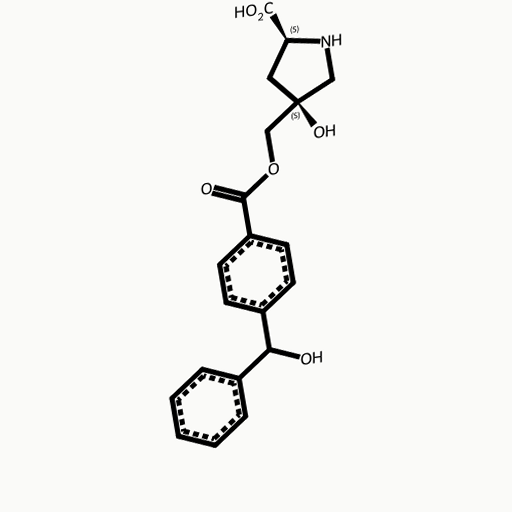 O=C(OC[C@@]1(O)CN[C@H](C(=O)O)C1)c1ccc(C(O)c2ccccc2)cc1